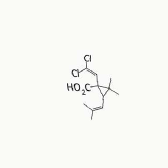 CC(C)=CC1C(C)(C)C1(C=C(Cl)Cl)C(=O)O